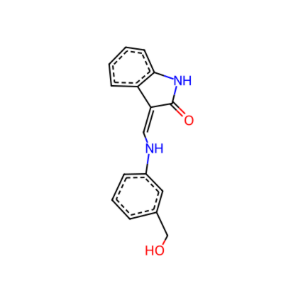 O=C1Nc2ccccc2C1=CNc1cccc(CO)c1